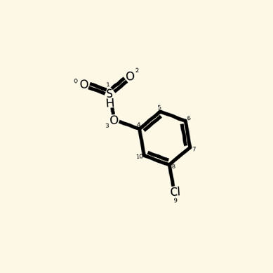 O=[SH](=O)Oc1cccc(Cl)c1